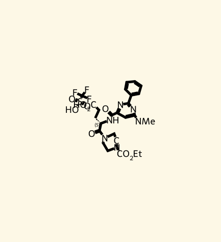 CCOC(=O)N1CCN(C(=O)[C@H](CCC(=O)O)NC(=O)c2cc(NC)nc(-c3ccccc3)n2)CC1.O=S(=O)(O)C(F)(F)F